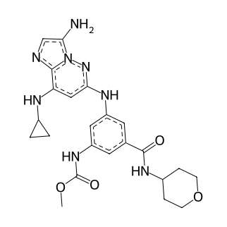 COC(=O)Nc1cc(Nc2cc(NC3CC3)c3ncc(N)n3n2)cc(C(=O)NC2CCOCC2)c1